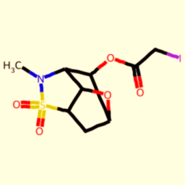 CN1C2C(OC(=O)CI)C3CC(C2O3)S1(=O)=O